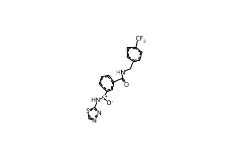 O=C(NCc1ccc(C(F)(F)F)cc1)c1cccc([S+]([O-])Nc2nncs2)c1